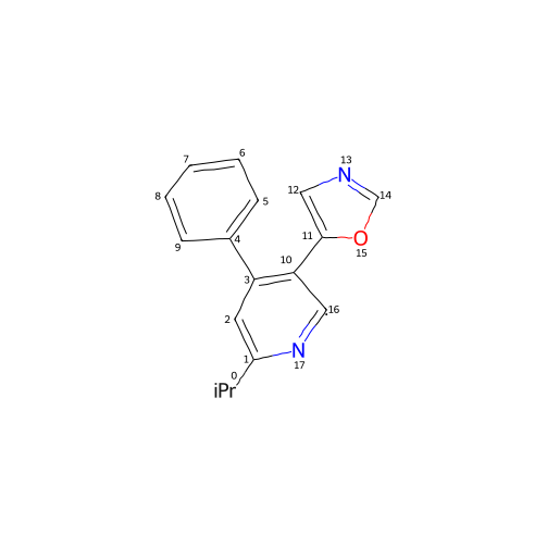 CC(C)c1cc(-c2ccccc2)c(-c2cnco2)[c]n1